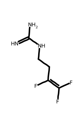 N=C(N)NCCC(F)=C(F)F